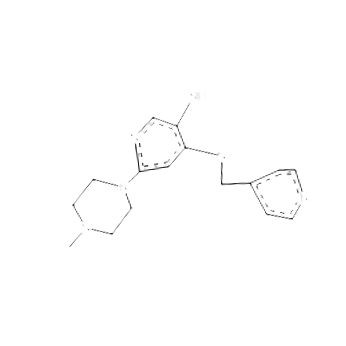 CN1CCN(c2cc(NCc3ccncc3)c(N)cn2)CC1